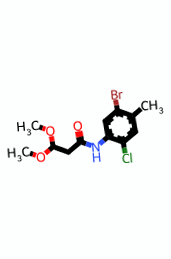 COC(CC(=O)Nc1cc(Br)c(C)cc1Cl)OC